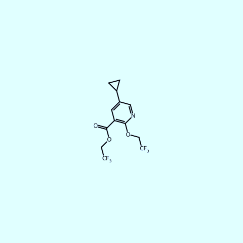 O=C(OCC(F)(F)F)c1cc(C2CC2)cnc1OCC(F)(F)F